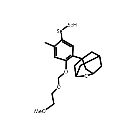 COCCOCOc1cc(C)c([Se][SeH])cc1C12CC3CC(CC(C3)C1)C2